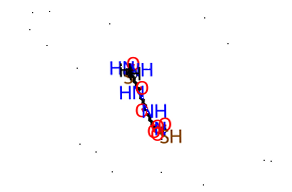 O=C(CCCCCNC(=O)CCCCC1SC[C@@H]2NC(=O)N[C@H]12)NCCCCCC(=O)ON1C(=O)CC(S)C1=O